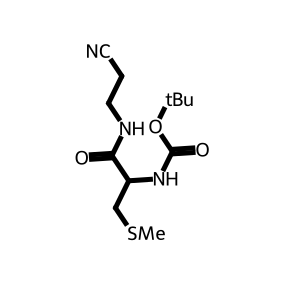 CSCC(NC(=O)OC(C)(C)C)C(=O)NCCC#N